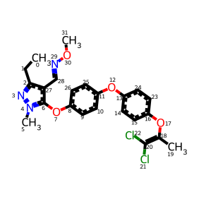 CCc1nn(C)c(Oc2ccc(Oc3ccc(OC(C)=C(Cl)Cl)cc3)cc2)c1/C=N/OC